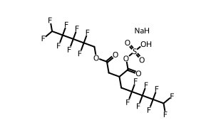 O=C(CC(CC(F)(F)C(F)(F)C(F)(F)C(F)F)C(=O)OS(=O)(=O)O)OCC(F)(F)C(F)(F)C(F)(F)C(F)F.[NaH]